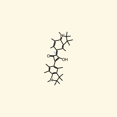 Cc1c(C)c2c(c(C)c1C1=C(O)/C(=c3/c(C)c(C)c4c(c3C)C(C)(C)C(C)(C)[N+]=4C)C1=O)C(C)(C)C(C)(C)N2C